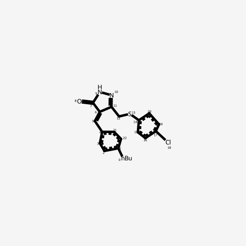 CCCCc1ccc(C=C2C(=O)NN=C2CSc2ccc(Cl)cc2)cc1